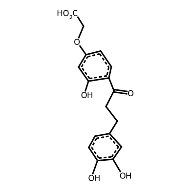 O=C(O)COc1ccc(C(=O)CCc2ccc(O)c(O)c2)c(O)c1